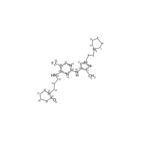 Cc1nn(CCN2CCCCC2)cc1Nc1ncc(C(F)(F)F)c(NCCCN2CCCCC2=O)n1